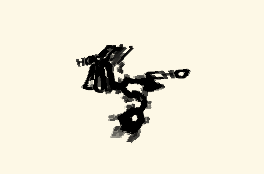 CC(C)(CCC1CC(C=O)CN(Cc2ccccc2)C1)[Si](C)(C)O